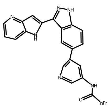 CCCC(=O)Nc1cncc(-c2ccc3[nH]nc(-c4cc5ncccc5[nH]4)c3c2)c1